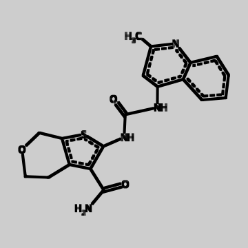 Cc1cc(NC(=O)Nc2sc3c(c2C(N)=O)CCOC3)c2ccccc2n1